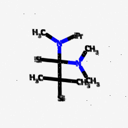 CC(C)N(C)C([Si])(N(C)C)C(C)(C)[Si]